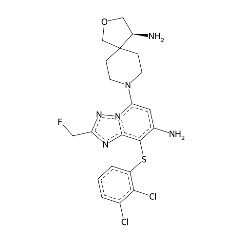 Nc1cc(N2CCC3(CC2)COC[C@H]3N)n2nc(CF)nc2c1Sc1cccc(Cl)c1Cl